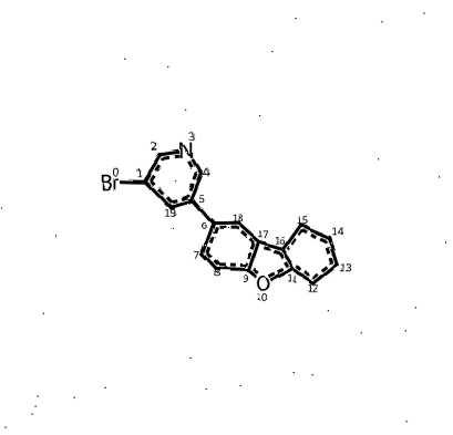 Brc1cncc(-c2ccc3oc4ccccc4c3c2)c1